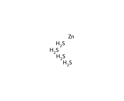 S.S.S.S.[Zn]